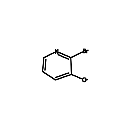 [O]c1cccnc1Br